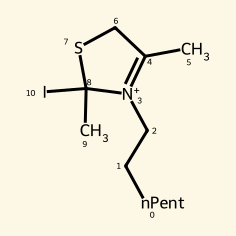 CCCCCCC[N+]1=C(C)CSC1(C)I